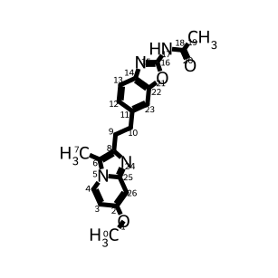 COc1ccn2c(C)c(CCc3ccc4nc(NC(C)=O)oc4c3)nc2c1